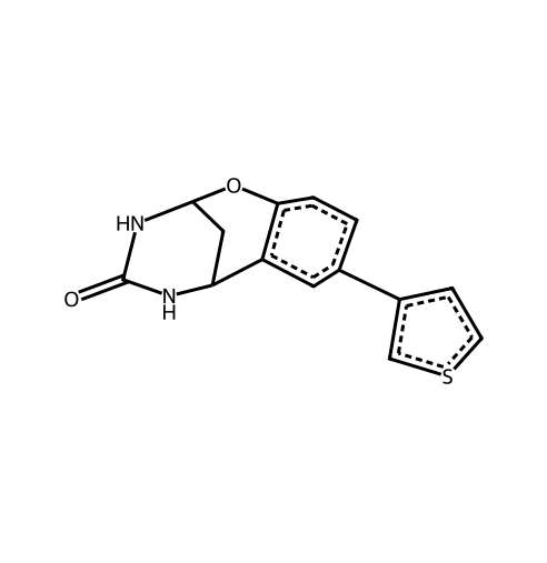 O=C1NC2CC(N1)c1cc(-c3ccsc3)ccc1O2